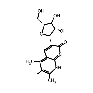 Cc1[nH]c2nc(=O)c([C@@H]3O[C@H](CO)C(O)[C@@H]3O)cc-2c(C)c1F